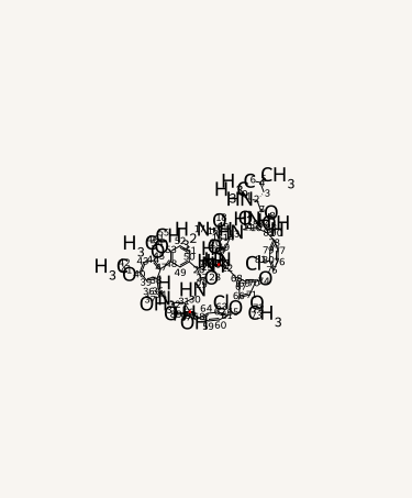 CN[C@H](CC(C)C)C(=O)N[C@H]1C(=O)N[C@@H](CC(N)=O)C(=O)N[C@H]2C(=S)N[C@H]3C(=O)NC[C@H](C(=O)N[C@H](CO)c4cc(OC)cc(OC)c4-c4cc3ccc4OC)[C@H](O)c3ccc(c(Cl)c3)Oc3cc2cc(c3OC)Oc2ccc(cc2Cl)[C@H]1O